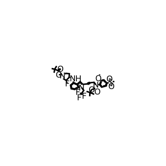 COc1cc(S(C)(=O)=O)ccc1N(CC#Cc1cc2c(N[C@@H]3CCN(OC(=O)C(C)(C)C)C[C@@H]3F)cccc2n1CC(F)(F)F)C(=O)OC(C)(C)C